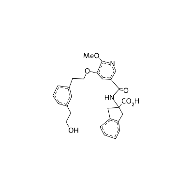 COc1ncc(C(=O)NC2(C(=O)O)Cc3ccccc3C2)cc1OCCc1cccc(CCO)c1